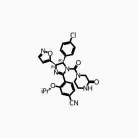 CC(C)Oc1cc(C#N)ccc1C1=N[C@@H](c2ccno2)[C@@H](c2ccc(Cl)cc2)N1C(=O)N1CCNC(=O)C1